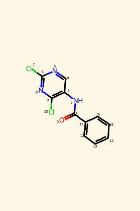 O=C(Nc1cnc(Cl)nc1Cl)c1ccccc1